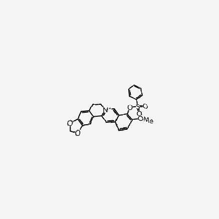 COc1ccc2cc3[n+](cc2c1OS(=O)(=O)c1ccccc1)CCc1cc2c(cc1-3)OCO2